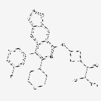 CC(O)C(=O)N1CC(Oc2nc(C3CCOCC3)c(-c3cncc(F)c3)c3cc4cn[nH]c4cc23)C1